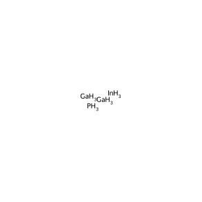 P.[GaH3].[GaH3].[InH3]